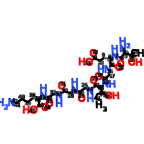 C[C@@H](O)[C@H](N)C(=O)N[C@@H](CCC(=O)O)C(=O)NCC(=O)N[C@H](C(=O)NCC(=O)NCC(=O)NCC(=O)N[C@@H](CCCCN)C(=O)O)[C@@H](C)O